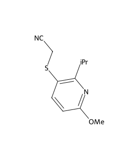 COc1ccc(SCC#N)c(C(C)C)n1